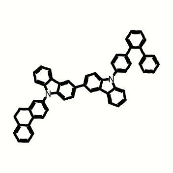 c1ccc(-c2ccccc2-c2ccc(-n3c4ccccc4c4cc(-c5ccc6c(c5)c5ccccc5n6-c5ccc6c(c5)CCc5ccccc5-6)ccc43)cc2)cc1